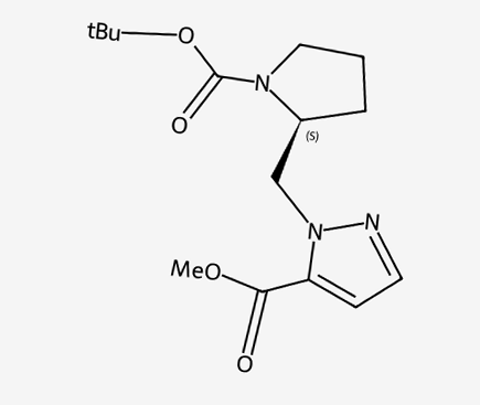 COC(=O)c1ccnn1C[C@@H]1CCCN1C(=O)OC(C)(C)C